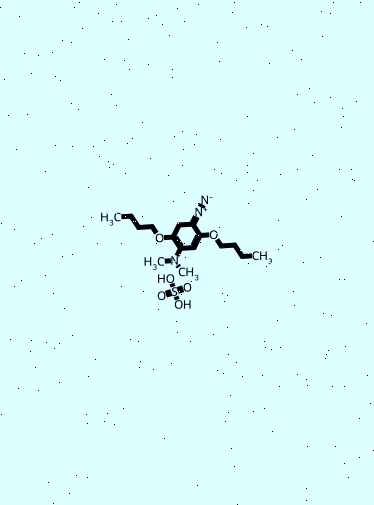 CCCCOC1=CC(N(C)C)=C(OCCCC)CC1=[N+]=[N-].O=S(=O)(O)O